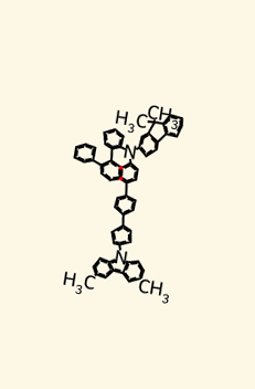 Cc1ccc2c(c1)c1cc(C)ccc1n2-c1ccc(-c2ccc(-c3ccc(N(c4ccc5c(c4)C(C)(C)c4ccccc4-5)c4ccccc4-c4ccccc4-c4ccccc4)cc3)cc2)cc1